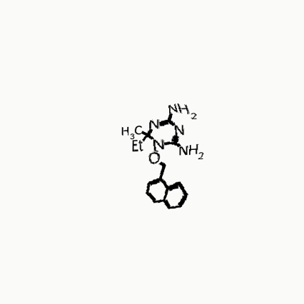 CCC1(C)N=C(N)N=C(N)N1OCc1cccc2ccccc12